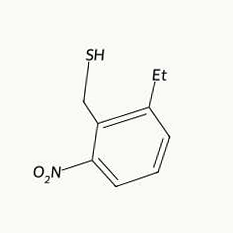 CCc1cccc([N+](=O)[O-])c1CS